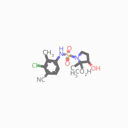 Cc1c(NS(=O)(=O)N2CCC(O)C2(C)C(=O)O)ccc(C#N)c1Cl